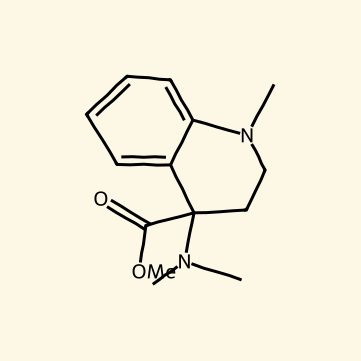 COC(=O)C1(N(C)C)CCN(C)c2ccccc21